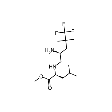 COC(=O)[C@H](CC(C)C)NC[C@@H](N)CC(C)(C)C(F)(F)F